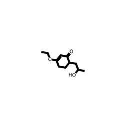 CCOC1=CC(=O)C(CC(C)O)CC1